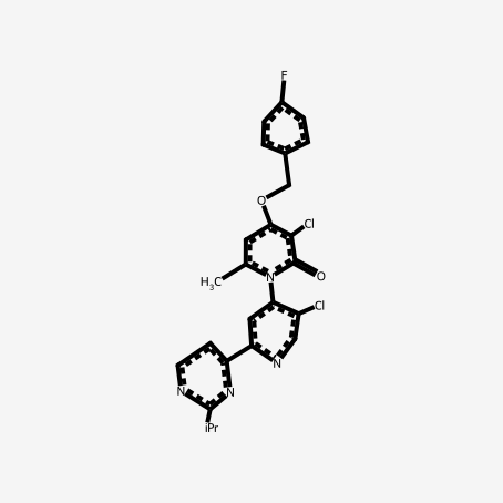 Cc1cc(OCc2ccc(F)cc2)c(Cl)c(=O)n1-c1cc(-c2ccnc(C(C)C)n2)ncc1Cl